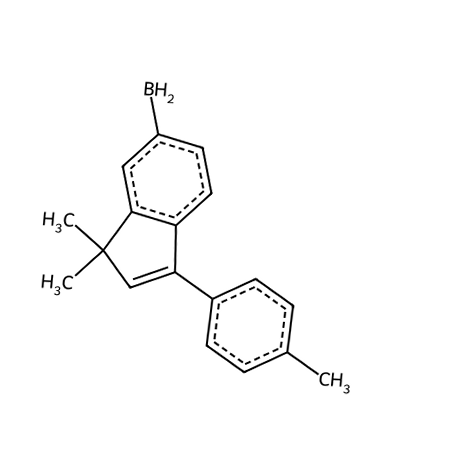 Bc1ccc2c(c1)C(C)(C)C=C2c1ccc(C)cc1